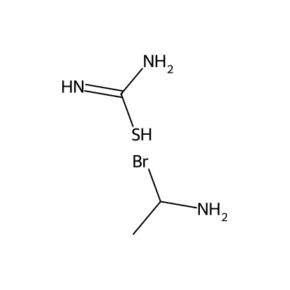 CC(N)Br.N=C(N)S